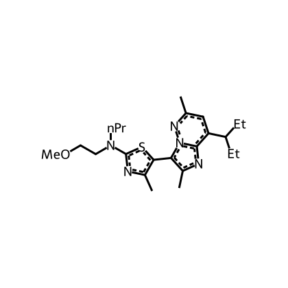 CCCN(CCOC)c1nc(C)c(-c2c(C)nc3c(C(CC)CC)cc(C)nn23)s1